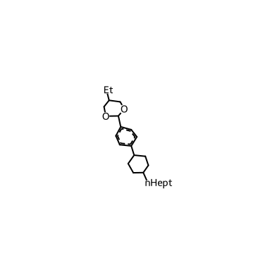 CCCCCCCC1CCC(c2ccc(C3OCC(CC)CO3)cc2)CC1